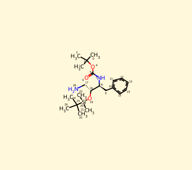 CC(C)(C)OC(=O)N[C@@H](Cc1ccccc1)[C@@H](CN)O[Si](C)(C)C(C)(C)C